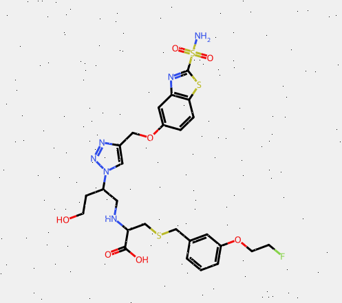 NS(=O)(=O)c1nc2cc(OCc3cn(C(CCO)CNC(CSCc4cccc(OCCF)c4)C(=O)O)nn3)ccc2s1